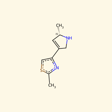 Cc1nc(C2=C[C@H](C)NC2)cs1